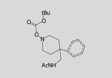 CC(=O)NCC1(c2ccccc2)CCN(OC(=O)OC(C)(C)C)CC1